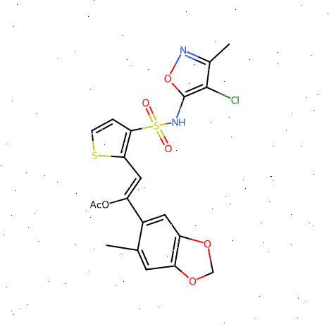 CC(=O)O/C(=C\c1sccc1S(=O)(=O)Nc1onc(C)c1Cl)c1cc2c(cc1C)OCO2